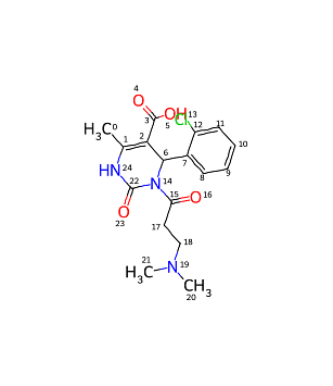 CC1=C(C(=O)O)C(c2ccccc2Cl)N(C(=O)CCN(C)C)C(=O)N1